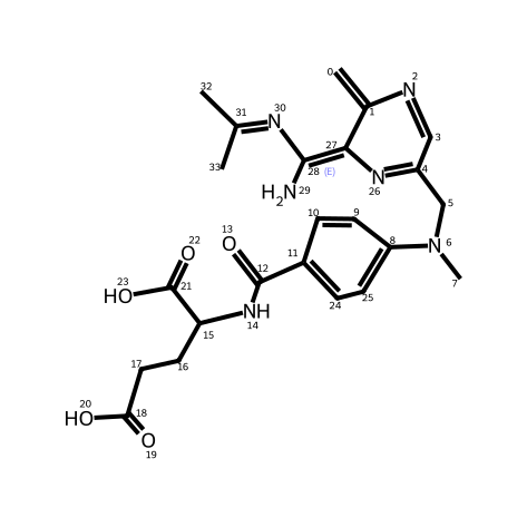 C=c1ncc(CN(C)c2ccc(C(=O)NC(CCC(=O)O)C(=O)O)cc2)n/c1=C(\N)N=C(C)C